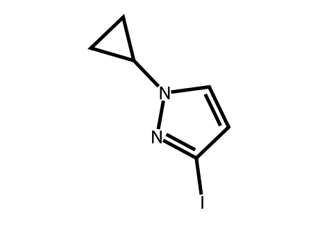 Ic1ccn(C2CC2)n1